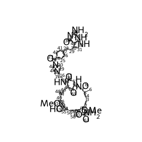 CO[C@H]1C=CC=C(C)C(=O)NC2=CC(=O)C(NCCN3CCN(C(=O)c4ccc(CCc5c[nH]c6[nH]c(N)nc(=O)c56)cc4)CC3)=C(C[C@@H](C)C[C@H](OC)[C@@H](O)[C@@H](C)C=C(C)[C@@H]1OC(N)=O)C2=O